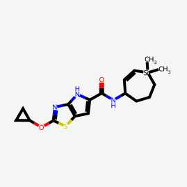 C[Si]1(C)C=CC(NC(=O)c2cc3sc(OC4CC4)nc3[nH]2)CCC1